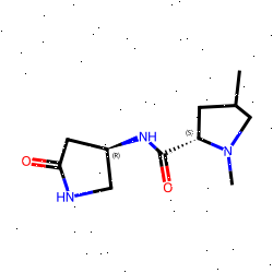 CC1C[C@@H](C(=O)N[C@H]2CNC(=O)C2)N(C)C1